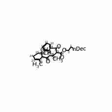 CCCCCCCCCCCCOC(=O)C(C(=O)c1ccccc1)C(C)CC(=O)C1C(C)=CCCC1(C)C